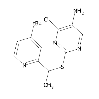 CC(Sc1ncc(N)c(Cl)n1)c1cc(C(C)(C)C)ccn1